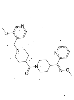 CO/N=C(\c1ccccn1)C1CCN(C(=O)C2CCN(Cc3ccncc3OC)CC2)CC1